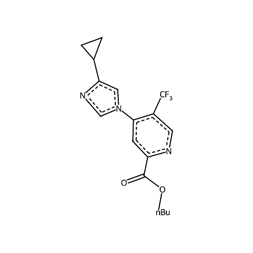 CCCCOC(=O)c1cc(-n2cnc(C3CC3)c2)c(C(F)(F)F)cn1